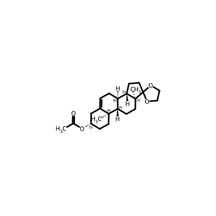 CC(=O)O[C@H]1CC[C@@]2(C)C(=CC[C@@H]3[C@@H]2CC[C@@]2(C)[C@H]3CCC23OCCO3)C1